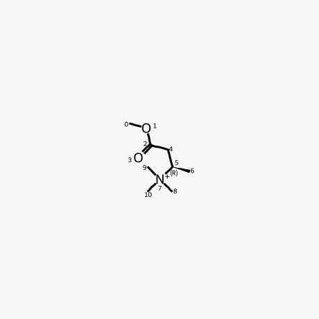 COC(=O)C[C@@H](C)[N+](C)(C)C